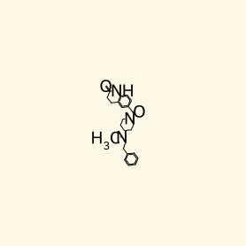 CN(CCc1ccccc1)C1CCN(C(=O)c2ccc3c(c2)CCC(=O)N3)CC1